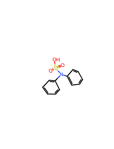 O=S(=O)(O)N(c1ccccc1)c1ccccc1